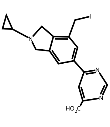 O=C(O)c1cc(-c2cc(CI)c3c(c2)CN(C2CC2)C3)ncn1